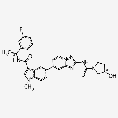 C[C@H](NC(=O)c1cn(C)c2ccc(-c3ccn4nc(NC(=O)N5CC[C@@H](O)C5)nc4c3)cc12)c1cccc(F)c1